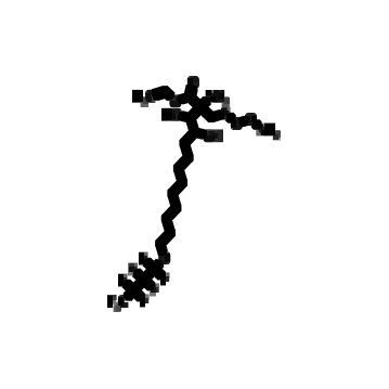 C=COC(=O)C(N)(CSOON)C(O)C(O)CCCCCCCCCOC(F)(F)C(F)(F)C(F)(F)C(F)(F)F